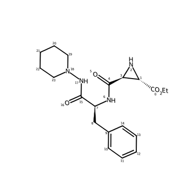 CCOC(=O)[C@H]1N[C@@H]1C(=O)N[C@@H](Cc1ccccc1)C(=O)NN1CCCCC1